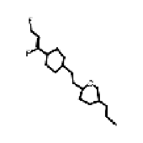 CCCC1CCC(CCC2CCC(/C(F)=C/CF)CC2)OC1